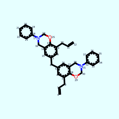 C=CCc1cc(Cc2cc(CC=C)c3c(c2)CN(c2ccccc2)CO3)cc2c1OCN(c1ccccc1)C2